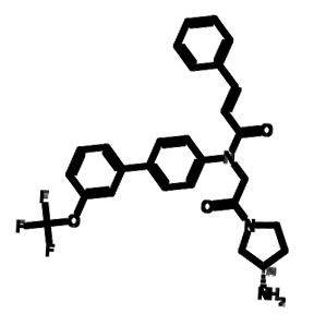 N[C@H]1CCN(C(=O)CN(C(=O)C=Cc2ccccc2)c2ccc(-c3cccc(OC(F)(F)F)c3)cc2)C1